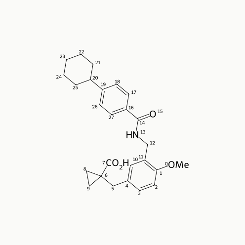 COc1ccc(CC2(C(=O)O)CC2)cc1CNC(=O)c1ccc(C2CCCCC2)cc1